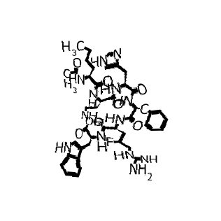 CCCC[C@H](NC(C)=O)C(=O)N[C@@H](CCN)C(=O)N[C@@H](Cc1c[nH]cn1)C(=O)N[C@H](Cc1ccccc1)C(=O)N[C@@H](CC(F)CNC(=N)N)C(=O)N[C@@H](Cc1c[nH]c2ccccc12)C(=O)O